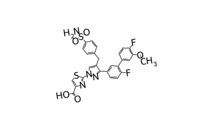 COc1cc(-c2cc(-c3nn(-c4nc(C(=O)O)cs4)cc3Cc3ccc(S(N)(=O)=O)cc3)ccc2F)ccc1F